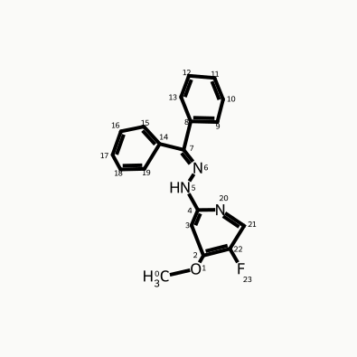 COc1cc(NN=C(c2ccccc2)c2ccccc2)ncc1F